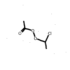 CC(=O)OOC(C)Cl